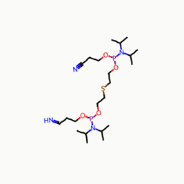 CC(C)N(C(C)C)P(OCCC#N)OCCSCCOP(OCCC=N)N(C(C)C)C(C)C